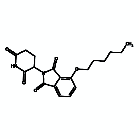 CCCCCCOc1cccc2c1C(=O)N(C1CCC(=O)NC1=O)C2=O